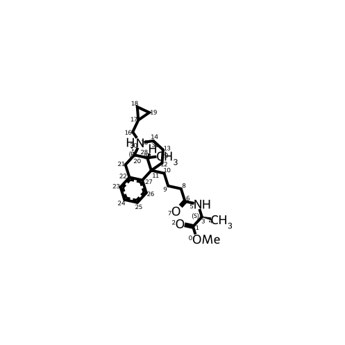 COC(=O)[C@H](C)NC(=O)CCCC12CCCN(CC3CC3)[C@H](Cc3ccccc31)[C@@H]2C